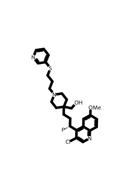 COc1ccc2ncc(Cl)c([C@H](F)CCC3(CO)CCN(CCCSc4cccnc4)CC3)c2c1